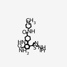 CC(C)Nc1ncc(-c2ccc(C(N)=O)c3[nH]c4c(c23)CCC(C(=O)NC2CCN(C)CC2)C4)s1